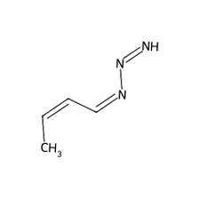 C/C=C\C=N/N=N